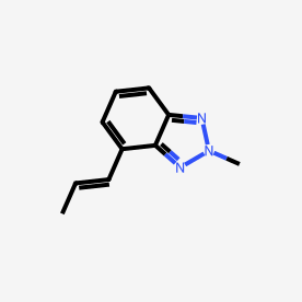 C/C=C/c1cccc2nn(C)nc12